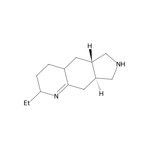 CCC1CCC2C[C@@H]3CNC[C@H]3CC2=N1